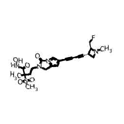 CN1C[C@H](C#CC#Cc2cc3n(c2)C(=O)N(CCC(C)(C(=O)NO)S(C)(=O)=O)C3)[C@H]1CF